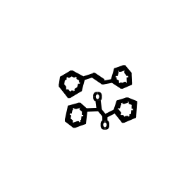 C(=Cc1ccccc1)c1ccccc1.O=C(C(=O)c1ccccc1)c1ccccc1